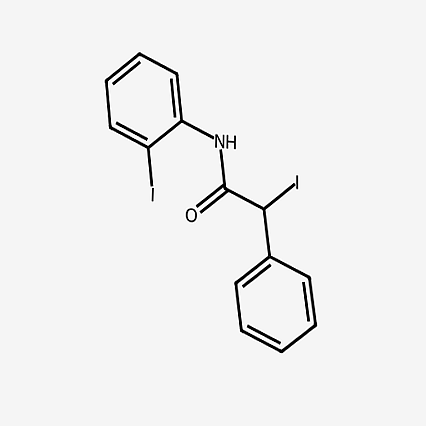 O=C(Nc1ccccc1I)C(I)c1ccccc1